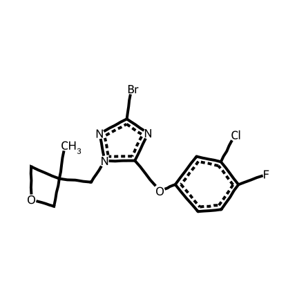 CC1(Cn2nc(Br)nc2Oc2ccc(F)c(Cl)c2)COC1